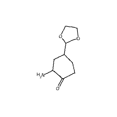 NC1CC(C2OCCO2)CCC1=O